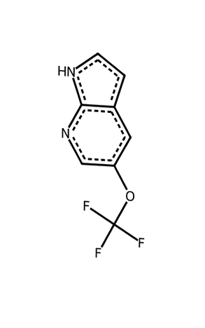 FC(F)(F)Oc1cnc2[nH]ccc2c1